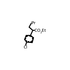 CCOC(=O)C(CC(C)C)c1ccc(Cl)cc1